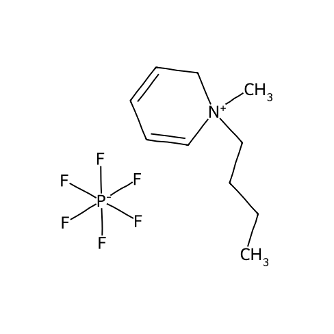 CCCC[N+]1(C)C=CC=CC1.F[P-](F)(F)(F)(F)F